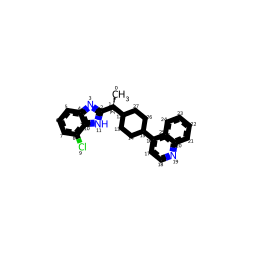 C[C@@H](c1nc2cccc(Cl)c2[nH]1)C1CCC(c2ccnc3ccccc23)CC1